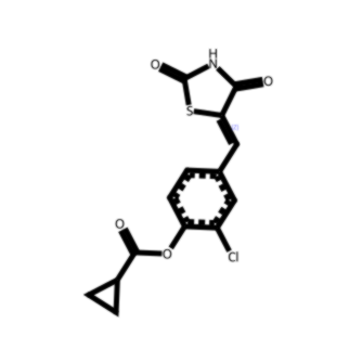 O=C1NC(=O)/C(=C/c2ccc(OC(=O)C3CC3)c(Cl)c2)S1